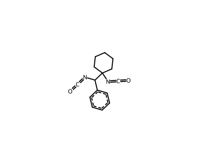 O=C=NC(c1ccccc1)C1(N=C=O)CCCCC1